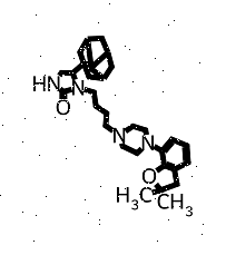 CC1(C)Cc2cccc(N3CCN(CCCCN4C(=O)NCC4C45CC6CC(CC(C6)C4)C5)CC3)c2O1